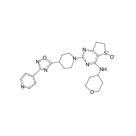 [O-][S+]1CCc2nc(N3CCC(c4nc(-c5ccncc5)no4)CC3)nc(NC3CCOCC3)c21